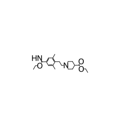 CCOC(=N)c1cc(C)c(CCN2CCC(C(=O)OCC)CC2)c(C)c1